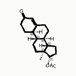 CC(=O)O[C@H]1CC[C@H]2[C@@H]3CCC4=CC(=O)CC[C@@H]4[C@H]3CC[C@]12C